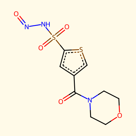 O=NNS(=O)(=O)c1cc(C(=O)N2CCOCC2)cs1